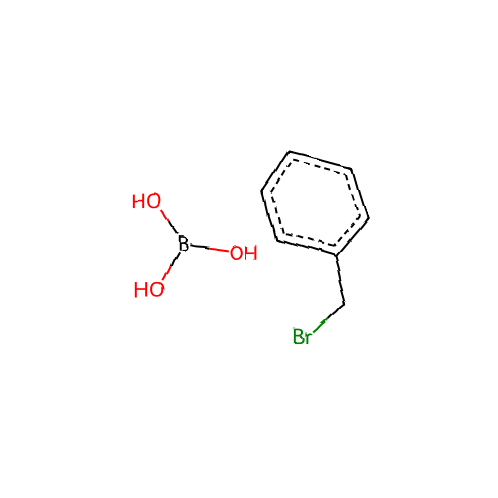 BrCc1ccccc1.OB(O)O